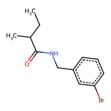 CCC(C)C(=O)NCc1cccc(Br)c1